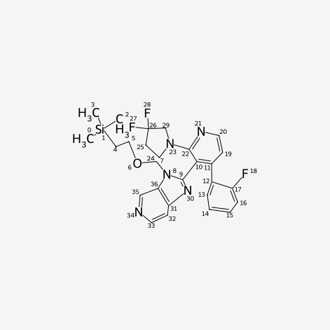 C[Si](C)(C)CCOCn1c(-c2c(-c3ccccc3F)ccnc2N2CCC(F)(F)C2)nc2ccncc21